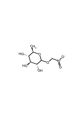 C[C@H]1OC(OC[N+](=O)[O-])[C@H](O)[C@@H](O)[C@@H]1O